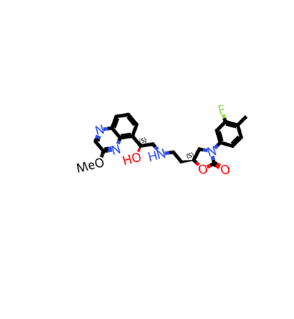 COc1cnc2cccc([C@H](O)CNCC[C@H]3CN(c4ccc(C)c(F)c4)C(=O)O3)c2n1